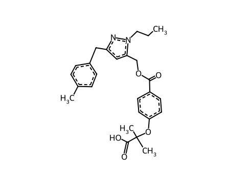 CCCn1nc(Cc2ccc(C)cc2)cc1COC(=O)c1ccc(OC(C)(C)C(=O)O)cc1